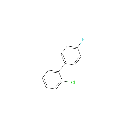 Fc1c[c]c(-c2ccccc2Cl)cc1